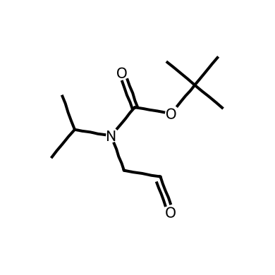 CC(C)N(CC=O)C(=O)OC(C)(C)C